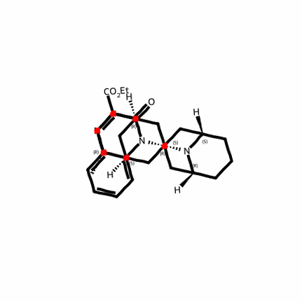 CCOC(=O)c1nc2ccccc2n([C@H]2C[C@H]3CCC[C@@H](C2)N3[C@H]2C[C@@H]3CC[C@@H](C)[C@@H](C3)C2)c1=O